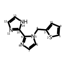 c1csc(Cn2ccnc2-c2ncc[nH]2)c1